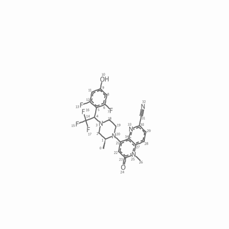 C[C@H]1CN(C(c2c(F)cc(O)cc2F)C(F)(F)F)CCN1c1cc(=O)n(C)c2ccc(C#N)nc12